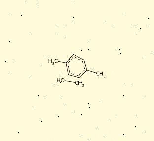 CO.Cc1ccc(C)cc1